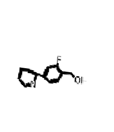 OCc1ccc(-c2ccccn2)cc1F